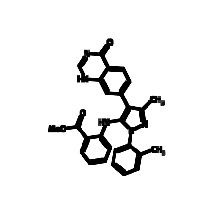 COC(=O)c1ccccc1Nc1c(-c2ccc3c(=O)nc[nH]c3c2)c(C)nn1-c1ccccc1C